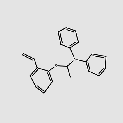 C=Cc1ccccc1SC(C)N(c1ccccc1)c1ccccc1